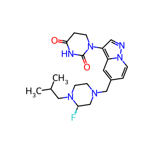 CC(C)CN1CCN(Cc2ccn3ncc(N4CCC(=O)NC4=O)c3c2)C[C@H]1F